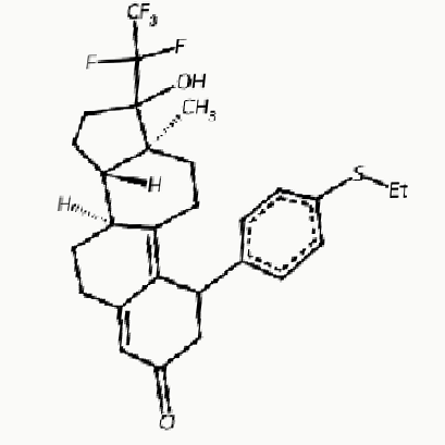 CCSc1ccc(C2CC(=O)C=C3CC[C@@H]4C(=C32)CC[C@@]2(C)[C@H]4CCC2(O)C(F)(F)C(F)(F)F)cc1